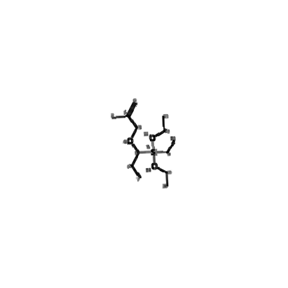 C=C(C)COC(CC)[Si](CC)(OCC)OCC